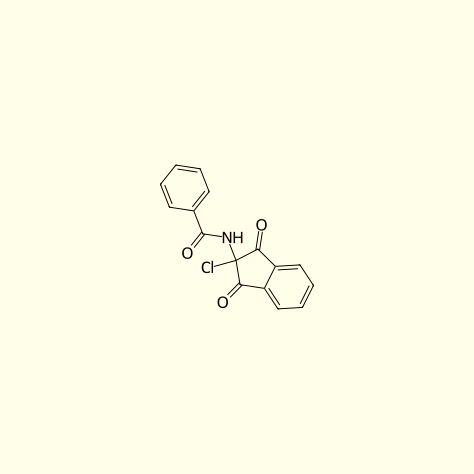 O=C(NC1(Cl)C(=O)c2ccccc2C1=O)c1ccccc1